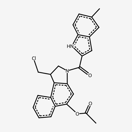 CC(=O)Oc1cc2c(c3ccccc13)C(CCl)CN2C(=O)c1cc2cc(C)ccc2[nH]1